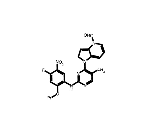 Cc1cnc(Nc2cc([N+](=O)[O-])c(F)cc2OC(C)C)nc1N1CC=C2C1=CC=CN2C=O